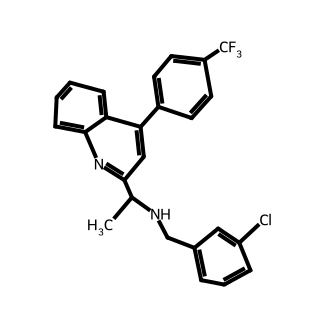 CC(NCc1cccc(Cl)c1)c1cc(-c2ccc(C(F)(F)F)cc2)c2ccccc2n1